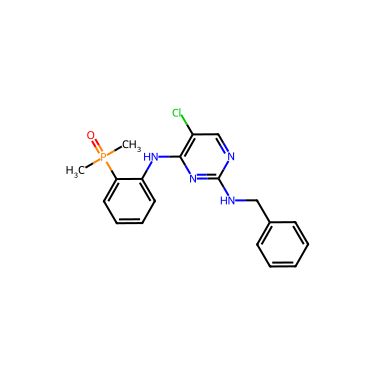 CP(C)(=O)c1ccccc1Nc1nc(NCc2ccccc2)ncc1Cl